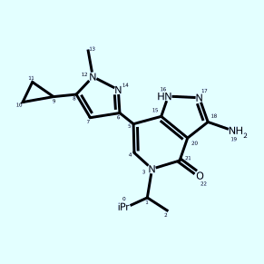 CC(C)C(C)n1cc(-c2cc(C3CC3)n(C)n2)c2[nH]nc(N)c2c1=O